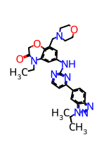 CCN1C(=O)COc2c(CN3CCOCC3)cc(Nc3nccc(-c4ccc5nnn(C(C)C)c5c4)n3)cc21